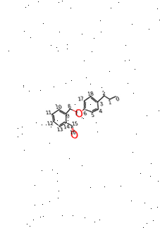 CCCc1ccc(OCc2ccccc2C=O)cc1